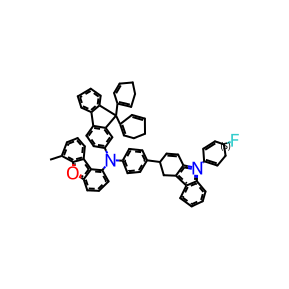 Cc1cccc2c1oc1cccc(N(c3ccc(C4C=Cc5c(c6ccccc6n5C5=CC[C@H](F)C=C5)C4)cc3)c3ccc4c(c3)C(C3=CCCC=C3)(C3=CCCC=C3)c3ccccc3-4)c12